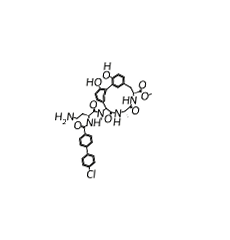 COC(=O)[C@@H]1Cc2ccc(O)c(c2)-c2cc(ccc2O)[C@H](N(C)C(=O)[C@H](CCN)NC(=O)c2ccc(-c3ccc(Cl)cc3)cc2)C(=O)N[C@@H](C)C(=O)N1